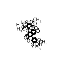 COc1cc([C@@H]2c3cc4c(cc3[C@@H](O[C@@H]3O[C@@H]5COC(C)O[C@H]5[C@H](O)[C@H]3N(C)C)C3COC(=O)C32)OCO4)cc(OC)c1O